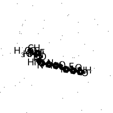 CC(C)S(=O)(=O)Nc1ccc(F)c(C(=O)c2c[nH]c3ncc(-c4ccc(N5CCN(C(=O)CN6CCC(c7ccc(C8CCC(=O)NC8=O)cc7F)CC6)CC5)nc4)cc23)c1F